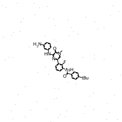 Cn1cc(-c2cccc([AsH]C(=O)c3ccc(C(C)(C)C)cc3)c2F)nc(Nc2cccc(N)c2)c1=O